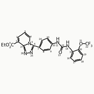 CCOC(=O)c1cccn2c(-c3ccc(NC(=O)Nc4ccccc4OC(F)(F)F)cc3)nnc12